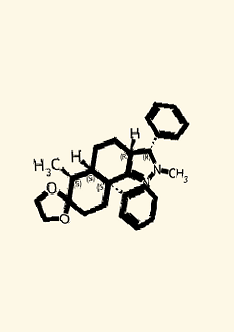 C[C@H]1[C@@H]2CC[C@H]3C(=NN(C)[C@H]3c3ccccc3)[C@@]2(c2ccccc2)CCC12OCCO2